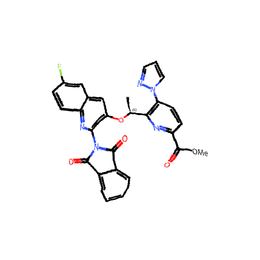 COC(=O)c1ccc(-n2cccn2)c([C@H](C)Oc2cc3cc(F)ccc3nc2N2C(=O)c3ccccc3C2=O)n1